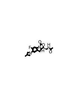 CC(=O)NC[C@@H]1OC(=O)N2c3cc(F)c(N4CC(C)C4)cc3C[C@@H]12